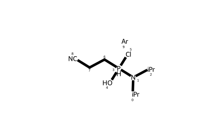 CC(C)N(C(C)C)[PH](O)(Cl)CCC#N.[Ar]